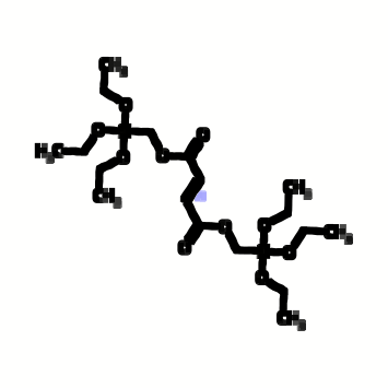 CCO[Si](COC(=O)/C=C/C(=O)OC[Si](OCC)(OCC)OCC)(OCC)OCC